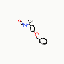 CC(N=C=O)c1ccc(OCc2ccccc2)cc1